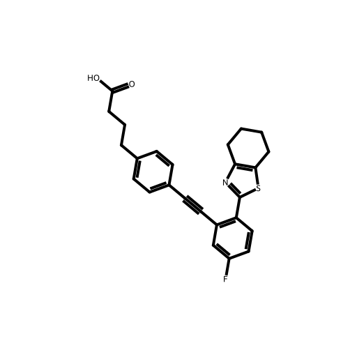 O=C(O)CCCc1ccc(C#Cc2cc(F)ccc2-c2nc3c(s2)CCCC3)cc1